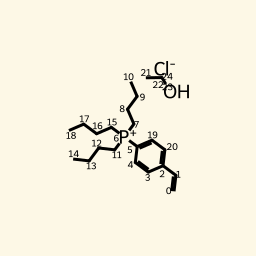 C=Cc1ccc([P+](CCCC)(CCCC)CCCC)cc1.CCO.[Cl-]